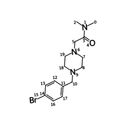 CN(C)C(=O)CN1CCN(Cc2ccc(Br)cc2)CC1